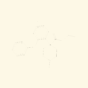 Br.CCOC(=O)C1(c2ccccc2Oc2ccccc2)CCN(C)CC1